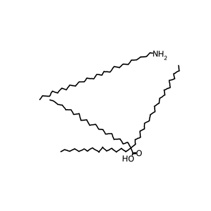 CCCCCCCCCCCCCCCCCCCCC(CCCCCCCCCCCCCCC)(CCCCCCCCCCCCCCCCCCCC)C(=O)O.CCCCCCCCCCCCCCCCCCCCCCCCCCN